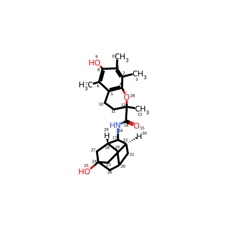 Cc1c(C)c2c(c(C)c1O)CCC(C)(C(=O)NC1[C@@H]3CC4C[C@H]1CC(O)(C4)C3)O2